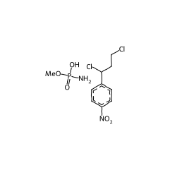 COP(N)(=O)O.O=[N+]([O-])c1ccc(C(Cl)CCCl)cc1